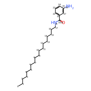 CCCCCCCCCCCCCCCCCCNC(=O)c1cccc(N)c1